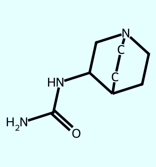 NC(=O)NC1CN2CCC1CC2